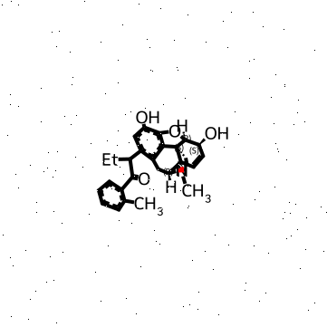 CCC(C(=O)c1ccccc1C)c1cc(O)c2c3c1C[C@@H]1[C@@H]4C=C[C@H](O)[C@H](O2)[C@]34CCN1C